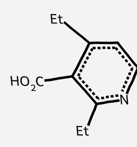 CCc1ccnc(CC)c1C(=O)O